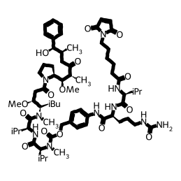 CC[C@H](C)[C@@H]([C@@H](CC(=O)N1CCC[C@H]1[C@H](OC)[C@@H](C)C(=O)C[C@H](C)[C@@H](O)c1ccccc1)OC)N(C)C(=O)[C@@H](NC(=O)[C@H](C(C)C)N(C)C(=O)OCc1ccc(NC(=O)[C@H](CCCNC(N)=O)NC(=O)[C@@H](NC(=O)CCCCCN2C(=O)C=CC2=O)C(C)C)cc1)C(C)C